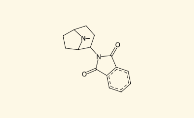 CN1C2CCC(N3C(=O)c4ccccc4C3=O)C1CC2